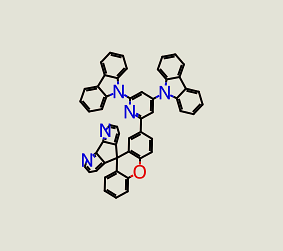 c1ccc2c(c1)Oc1ccc(-c3cc(-n4c5ccccc5c5ccccc54)cc(-n4c5ccccc5c5ccccc54)n3)cc1C21c2cccnc2-c2ncccc21